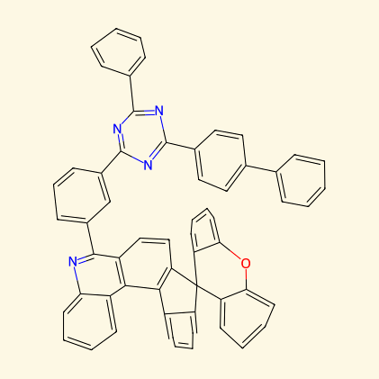 c1ccc(-c2ccc(-c3nc(-c4ccccc4)nc(-c4cccc(-c5nc6ccccc6c6c7c(ccc56)C5(c6ccccc6Oc6ccccc65)c5ccccc5-7)c4)n3)cc2)cc1